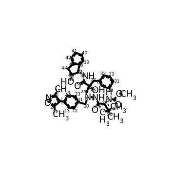 COC(=O)N[C@H](C(=O)NN(Cc1ccc(-c2c(C)noc2C)cc1)C[C@](O)(Cc1ccccc1)C(=O)N[C@H]1c2ccccc2C[C@H]1O)C(C)(C)C